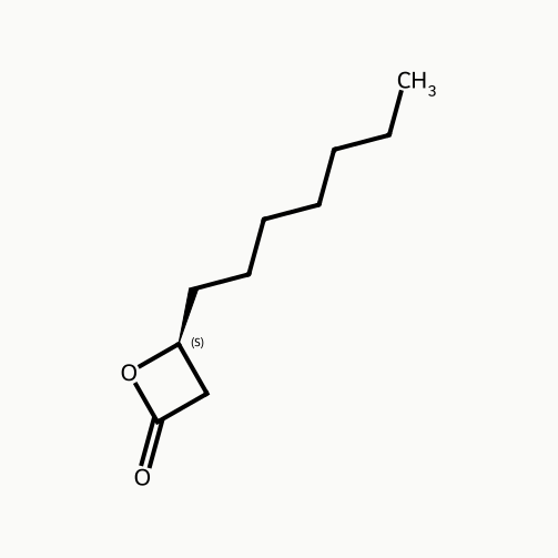 CCCCCCC[C@H]1CC(=O)O1